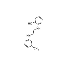 Cc1cccc(NCCNc2ccccc2O)c1